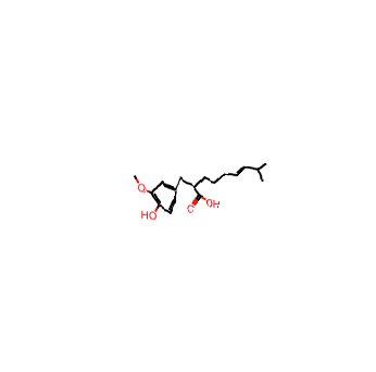 COc1cc(CC(CCCC=CC(C)C)C(=O)O)ccc1O